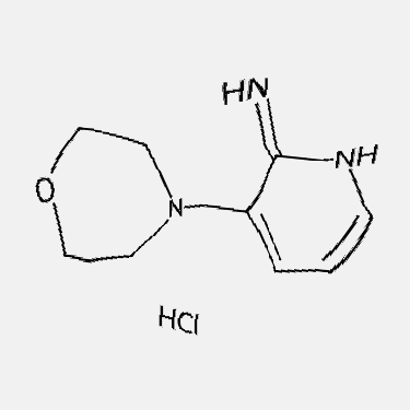 Cl.N=c1[nH]cccc1N1CCOCC1